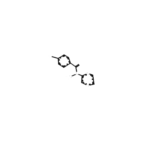 NN(C(=O)c1ccc(Br)cc1)c1cnccn1